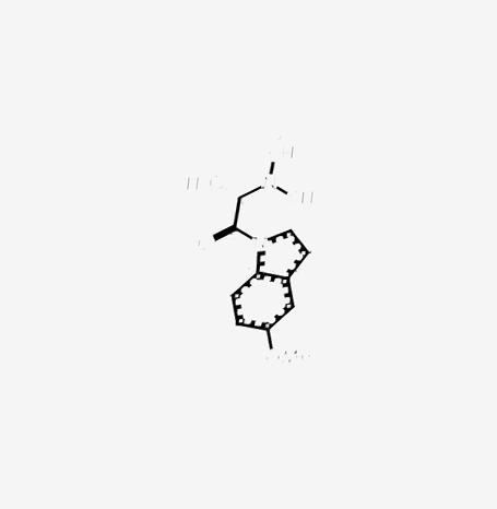 COc1ccc2c(ccn2C(=O)[C@H](C)N(C)C)c1